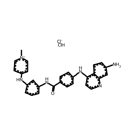 C[n+]1ccc(Nc2cccc(NC(=O)c3ccc(Nc4ccnc5cc(N)ccc45)cc3)c2)cc1.Cl.[Cl-]